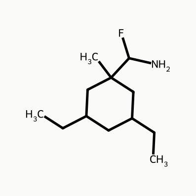 CCC1CC(CC)CC(C)(C(N)F)C1